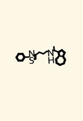 CC(NCCCc1csc(-c2ccccc2)n1)c1ccc2cccccc1-2